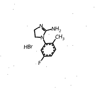 Br.Cc1ccc(F)cc1N1CCN=C1N